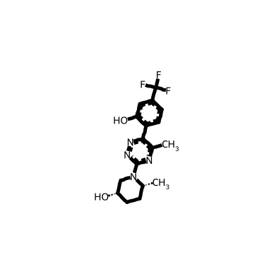 Cc1nc(N2C[C@@H](O)CC[C@H]2C)nnc1-c1ccc(C(F)(F)F)cc1O